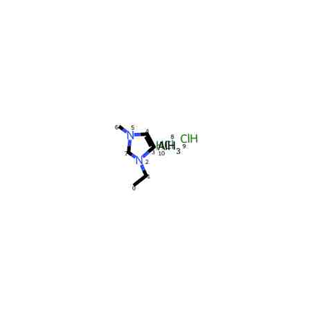 CCN1C=CN(C)C1.Cl.Cl.[AlH3]